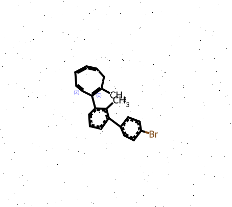 C/C1=C(c2cccc(-c3ccc(Br)cc3)c2C)/C=C\C=C=CC1